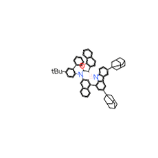 CC(C)(C)c1ccc(N2c3cc4ccccc4c4c3B(C3c5ccc6ccccc6c5OC32)n2c3ccc(C56CC7CC(CC(C7)C5)C6)cc3c3cc(C56CC7CC(CC(C7)C5)C6)cc-4c32)c(-c2ccccc2)c1